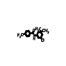 CC1(C)CC(=O)C=C(NC(=O)c2ccc(C(F)(F)F)cc2)C1